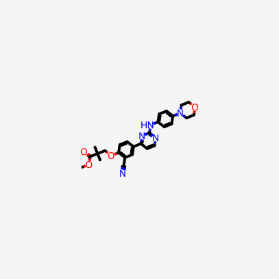 COC(=O)C(C)(C)COc1ccc(-c2ccnc(Nc3ccc(N4CCOCC4)cc3)n2)cc1C#N